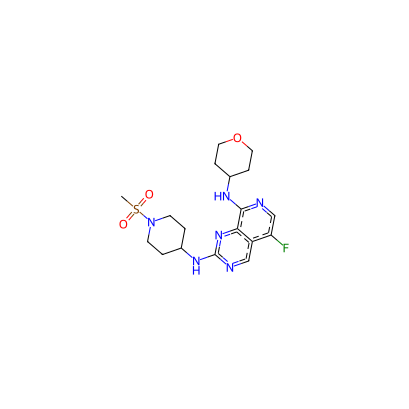 CS(=O)(=O)N1CCC(Nc2ncc3c(F)cnc(NC4CCOCC4)c3n2)CC1